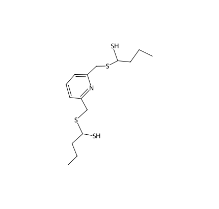 CCCC(S)SCc1cccc(CSC(S)CCC)n1